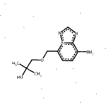 Bc1ccc(COCC(C)(C)O)n2ncnc12